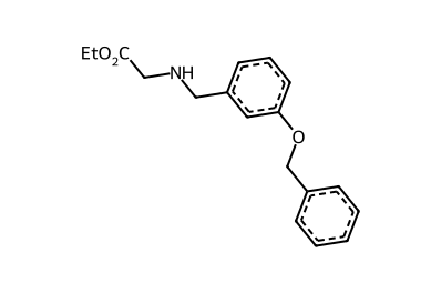 CCOC(=O)CNCc1cccc(OCc2ccccc2)c1